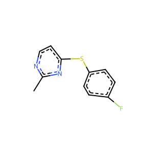 Cc1nccc(Sc2ccc(F)cc2)n1